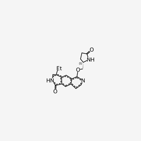 CCc1c[nH]c(=O)c2cc3ccnc(OC[C@@H]4CCC(=O)N4)c3cc12